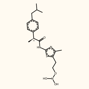 Cc1nc(NC(=O)[C@@H](C)c2ccc(CC(C)C)cc2)sc1CCON(O)O